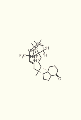 [2H]C([2H])([2H])C(CCCC(C)(C/C=C/C(O[Si](C)(C)C)(C(F)(F)F)C(F)(F)F)[C@H]1CCC2C(=O)CCC[C@@]21C)(O[Si](C)(C)C)C([2H])([2H])[2H]